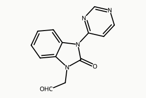 O=CCn1c(=O)n(-c2ccncn2)c2ccccc21